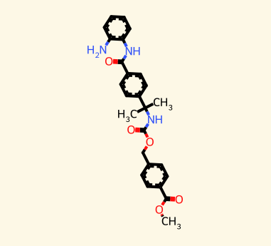 COC(=O)c1ccc(COC(=O)NC(C)(C)c2ccc(C(=O)Nc3ccccc3N)cc2)cc1